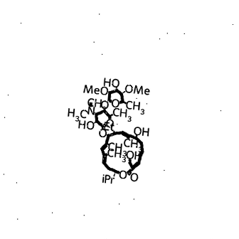 CC[C@H]1/C=C(\C)[C@@H](O)C/C=C/C=C(\CO)C(=O)O[C@H](C(C)C)C/C=C(C)/C=C(\C)[C@@H]1O[C@@H]1O[C@H](C)[C@@H](O[C@@H]2O[C@H](C)[C@@H](OC)[C@H](O)[C@H]2OC)[C@H](N(C)C)[C@H]1O